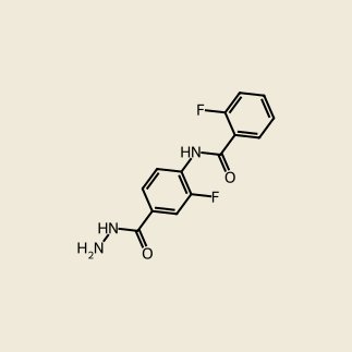 NNC(=O)c1ccc(NC(=O)c2ccccc2F)c(F)c1